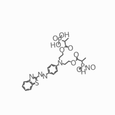 CC(C(=O)OCCN(CCOC(=O)C(C)P(=O)(O)O)c1ccc(/N=N/c2nc3ccccc3s2)cc1)[PH](=O)N=O